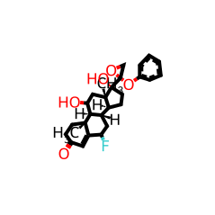 C[C@]12CCC(=O)C=C1C(F)C[C@@H]1[C@@H]2C(O)C[C@@]2(C)[C@H]1CC[C@]2(O)C1(Oc2ccccc2)CO1